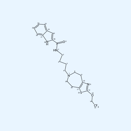 O=C(NCCCCN1CCc2nc(OCC(F)(F)F)sc2CC1)c1cc2ccccc2[nH]1